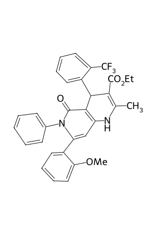 CCOC(=O)C1=C(C)Nc2cc(-c3ccccc3OC)n(-c3ccccc3)c(=O)c2C1c1ccccc1C(F)(F)F